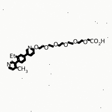 CCc1cc(-c2ccc(OCCOCCOCCOCCOCCOCC(=O)O)nc2)ccc1-c1cnccc1C